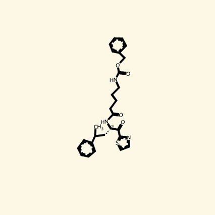 CC(C[C@H](NC(=O)CCCCNC(=O)OCc1ccccc1)C(=O)c1nccs1)c1ccccc1